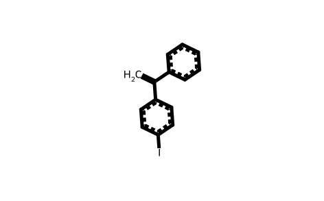 C=C(c1ccccc1)c1ccc(I)cc1